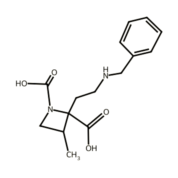 CC1CN(C(=O)O)C1(CCNCc1ccccc1)C(=O)O